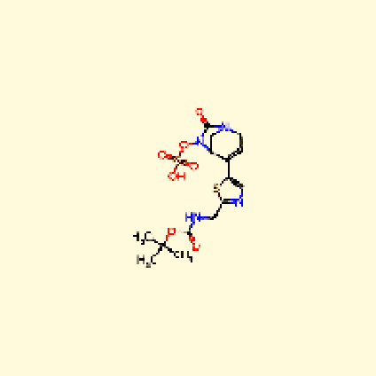 CC(C)(C)OC(=O)NCc1ncc(C2=CCN3CC2N(OS(=O)(=O)O)C3=O)s1